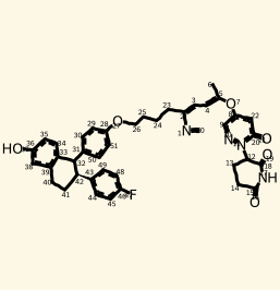 C=N/C(=C\C=C(/C)Oc1cnn(C2CCC(=O)NC2=O)c(=O)c1)CCCCOc1ccc(C2c3ccc(O)cc3CC[C@@H]2c2ccc(F)cc2)cc1